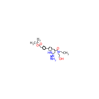 CCCN(CCCO)C(=O)C1=CC2=CC=C(c3ccc(CC(=O)OC(C)C)cc3)CC2NC(N=NN)C1